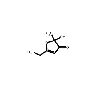 CCC1=CC(=O)C(C)(O)O1